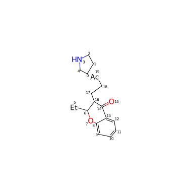 C1CCNC1.CCC1Oc2ccccc2C(=O)C1CCC(C)=O